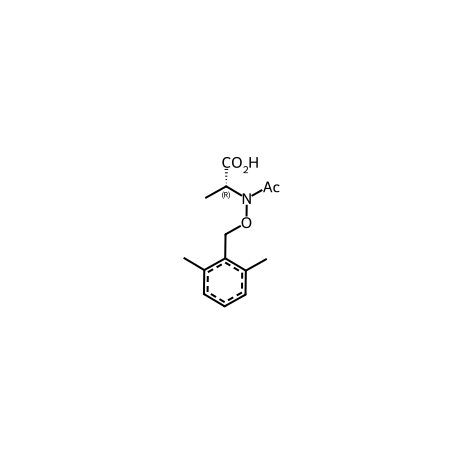 CC(=O)N(OCc1c(C)cccc1C)[C@H](C)C(=O)O